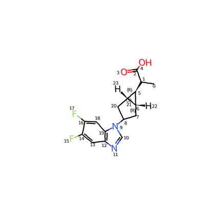 CC(C(=O)O)[C@H]1[C@@H]2CC(n3cnc4cc(F)c(F)cc43)C[C@@H]21